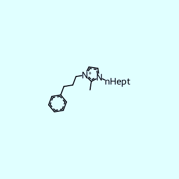 CCCCCCCn1cc[n+](CCCc2ccccc2)c1C